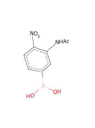 CC(=O)Nc1cc(B(O)O)ccc1[N+](=O)[O-]